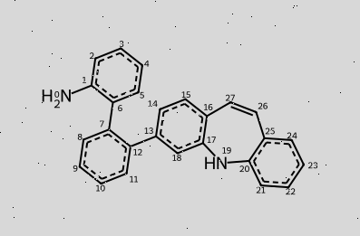 Nc1ccccc1-c1ccccc1-c1ccc2c(c1)Nc1ccccc1C=C2